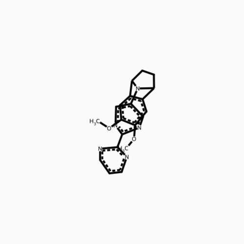 COc1cc2c(cc1OC)C1CCC2N1c1cnc(-c2ncccn2)nc1